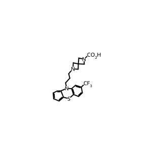 O=C(O)N1CC2(CN(CCCN3c4ccccc4Sc4ccc(C(F)(F)F)cc43)C2)C1